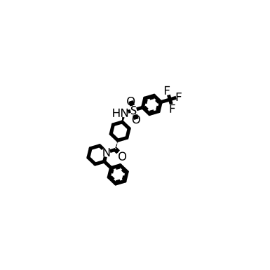 O=C([C@H]1CC[C@H](NS(=O)(=O)c2ccc(C(F)(F)F)cc2)CC1)N1CCCCC1c1ccccc1